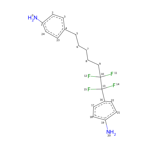 Nc1ccc(CCCCCC(F)(F)C(F)(F)c2ccc(N)cc2)cc1